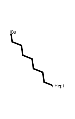 [CH2]CCCCCCCCCCCCCC(C)CC